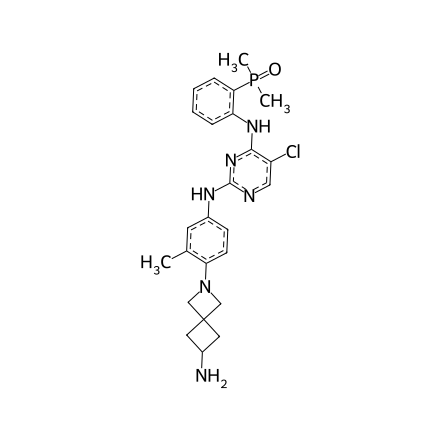 Cc1cc(Nc2ncc(Cl)c(Nc3ccccc3P(C)(C)=O)n2)ccc1N1CC2(CC(N)C2)C1